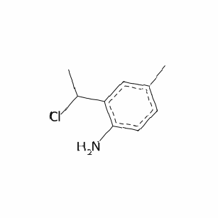 Cc1ccc(N)c(C(C)Cl)c1